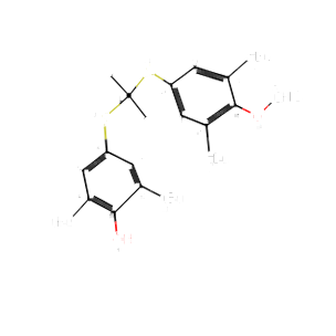 CC(C)(Sc1cc(C(C)(C)C)c(O)c(C(C)(C)C)c1)Sc1cc(C(C)(C)C)c(OC=O)c(C(C)(C)C)c1